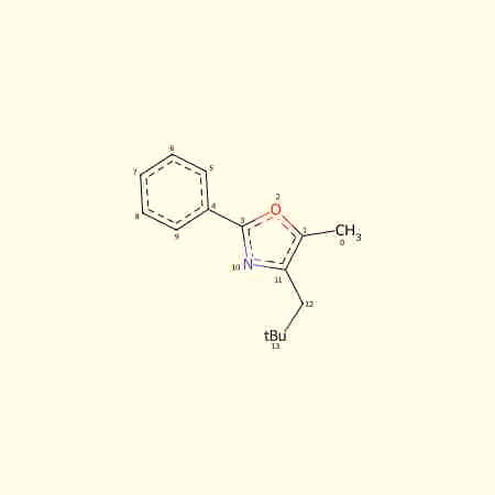 Cc1oc(-c2ccccc2)nc1CC(C)(C)C